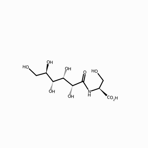 O=C(O)[C@H](CO)NC(=O)[C@H](O)[C@@H](O)[C@H](O)[C@H](O)CO